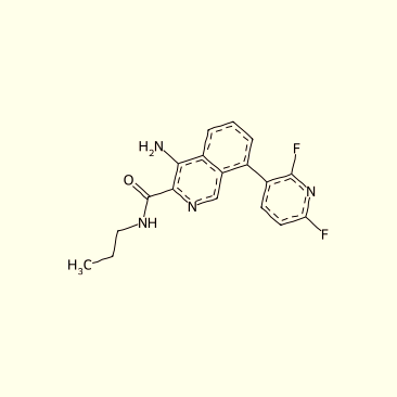 CCCNC(=O)c1ncc2c(-c3ccc(F)nc3F)cccc2c1N